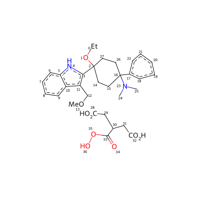 CCOC1(c2[nH]c3ccccc3c2COC)CCC(c2ccccc2)(N(C)C)CC1.O=C(O)CC(CC(=O)O)C(=O)OO